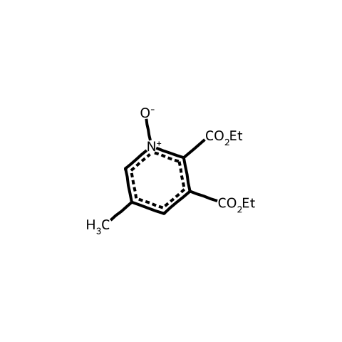 CCOC(=O)c1cc(C)c[n+]([O-])c1C(=O)OCC